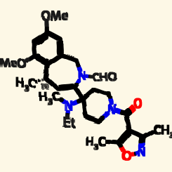 CCN(C)C1(C2=C[C@H](C)c3c(cc(OC)cc3OC)CN2C=O)CCN(C(=O)c2c(C)noc2C)CC1